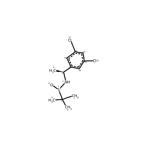 C[C@H](N[S+]([O-])C(C)(C)C)c1cc(Cl)cc(Cl)c1